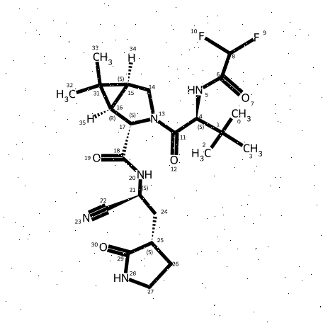 CC(C)(C)[C@H](NC(=O)C(F)F)C(=O)N1C[C@H]2[C@@H]([C@H]1C(=O)N[C@H](C#N)C[C@@H]1CCNC1=O)C2(C)C